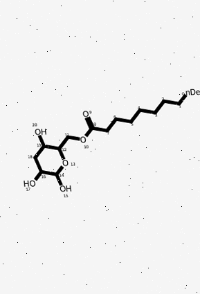 CCCCCCCCCCCCCCCCCC(=O)OCC1OC(O)C(O)CC1O